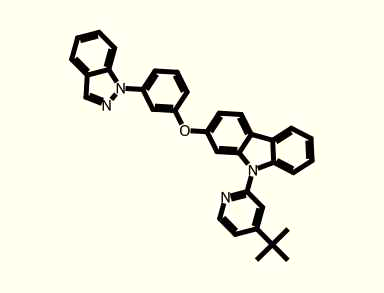 CC(C)(C)c1ccnc(-n2c3ccccc3c3ccc(Oc4cccc(-n5ncc6ccccc65)c4)cc32)c1